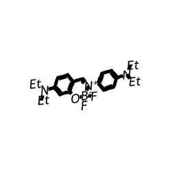 CCN(CC)c1ccc([N+]2=Cc3ccc(N(CC)CC)cc3O[B-]2(F)F)cc1